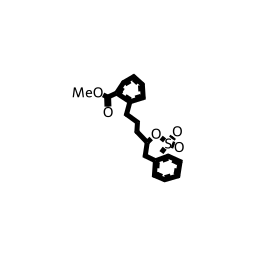 COC(=O)c1ccccc1CCCC(Cc1ccccc1)OS(C)(=O)=O